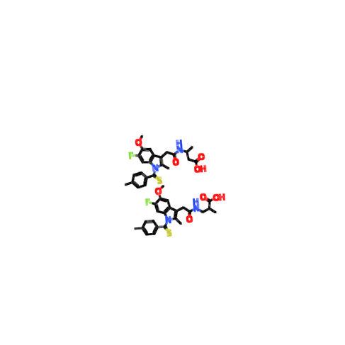 COc1cc2c(CC(=O)NC(C)CC(=O)O)c(C)n(C(=S)c3ccc(C)cc3)c2cc1F.COc1cc2c(CC(=O)NCC(C)C(=O)O)c(C)n(C(=S)c3ccc(C)cc3)c2cc1F